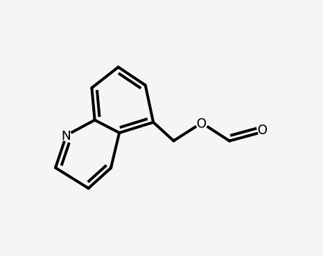 O=COCc1cccc2ncccc12